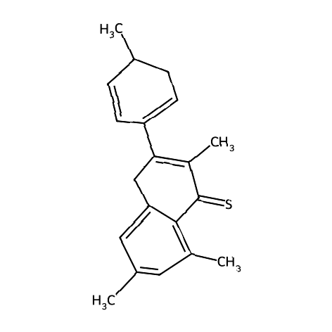 CC1=C(C2=CCC(C)C=C2)Cc2cc(C)cc(C)c2C1=S